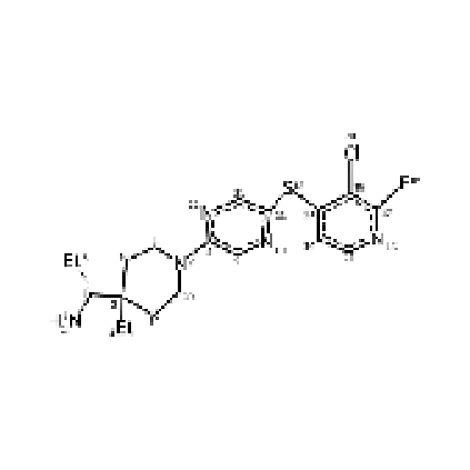 CC[C@@H](N)C1(CC)CCN(c2cnc(Sc3ccnc(F)c3Cl)cn2)CC1